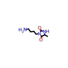 CC1NC(=O)N(CCCCN)C1=O